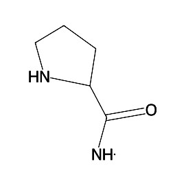 [NH]C(=O)C1CCCN1